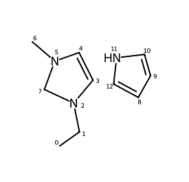 CCN1C=CN(C)C1.c1cc[nH]c1